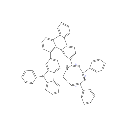 C1=C(c2ccccc2)/N=C(c2ccccc2)\N=C(\c2ccc3c4ccccc4c4cccc(-c5ccc6c7ccccc7n(-c7ccccc7)c6c5)c4c3c2)NCC\1